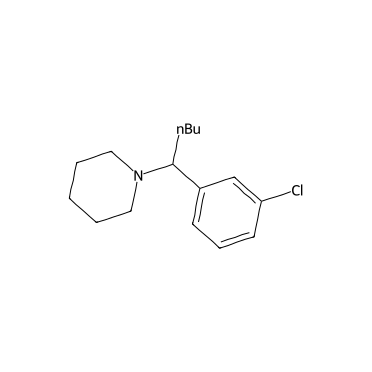 CCCCC(c1cccc(Cl)c1)N1CCCCC1